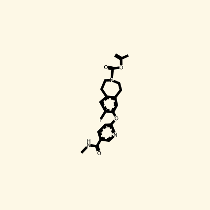 C=C(C)OC(=O)N1CCc2cc(I)c(Oc3ccc(C(=O)NC)cn3)cc2CC1